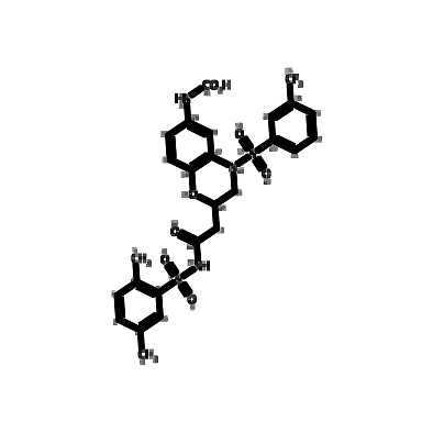 Cc1ccc(C)c(S(=O)(=O)NC(=O)CC2CN(S(=O)(=O)c3cccc(C(F)(F)F)c3)c3cc(NC(=O)O)ccc3O2)c1